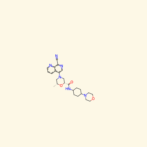 C[C@@H]1CN(c2cnc(C#N)c3ncccc23)C[C@H](C(=O)NC2CCC(N3CCOCC3)CC2)O1